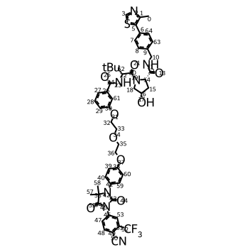 Cc1ncsc1-c1ccc(CNC(=O)[C@@H]2C[C@@H](O)CN2C(=O)[C@@H](NC(=O)c2cccc(OCCOCCOc3ccc(N4C(=O)N(c5ccc(C#N)c(C(F)(F)F)c5)C(=O)C4(C)C)cc3)c2)C(C)(C)C)cc1